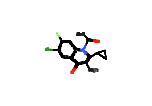 CCOC(=O)c1c(C2CC2)n(C(=O)OC)c2cc(F)c(Cl)cc2c1=O